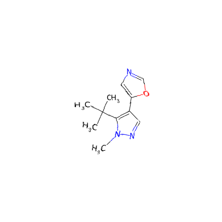 Cn1ncc(-c2cnco2)c1C(C)(C)C